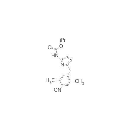 Cc1cc(N=O)c(C)cc1Cc1nc(NC(=O)OC(C)C)cs1